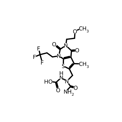 COCCn1c(=O)c2c(C)c(CN(NC(=O)O)C(N)=O)sc2n(CCC(F)(F)F)c1=O